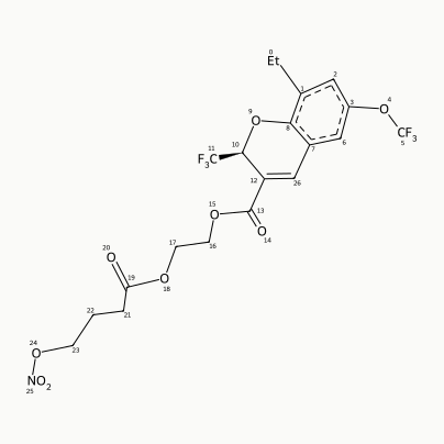 CCc1cc(OC(F)(F)F)cc2c1O[C@H](C(F)(F)F)C(C(=O)OCCOC(=O)CCCO[N+](=O)[O-])=C2